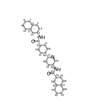 O=C(Nc1ccc2ccccc2c1)c1ccc(-c2ccc(NC(=O)c3ccc4ccccc4c3)cn2)cc1